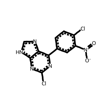 O=[N+]([O-])c1cc(-c2nc(Cl)nc3[nH]cnc23)ccc1Cl